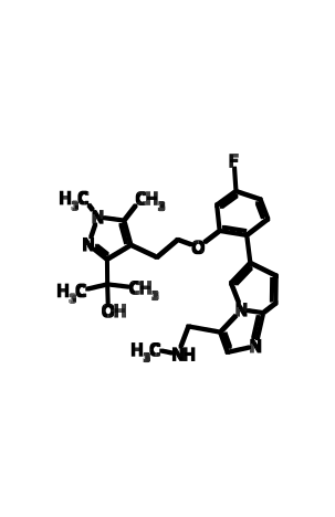 CNCc1cnc2ccc(-c3ccc(F)cc3OCCc3c(C(C)(C)O)nn(C)c3C)cn12